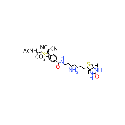 CC(=O)N[C@@H](CSC(=C(C#N)C#N)c1ccc(C(=O)NCCC(N)CCCC[C@@H]2SC[C@@H]3NC(=O)N[C@@H]32)cc1)C(=O)O